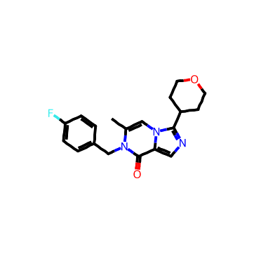 Cc1cn2c(C3CCOCC3)ncc2c(=O)n1Cc1ccc(F)cc1